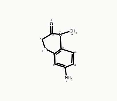 CN1C(=O)COc2cc(N)ccc21